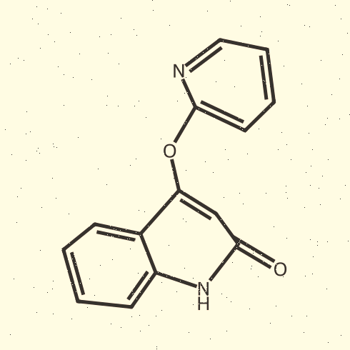 O=c1cc(Oc2ccccn2)c2ccccc2[nH]1